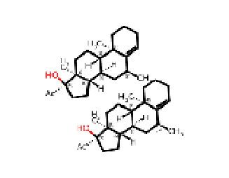 CC(=O)[C@@]1(O)CC[C@H]2[C@@H]3C[C@H](C)C4=CCCC[C@]4(C)[C@H]3CC[C@@]21C.CC(=O)[C@@]1(O)CC[C@H]2[C@@H]3C[C@H](C)C4=CCCC[C@]4(C)[C@H]3CC[C@@]21C